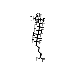 FC(F)=CCCCC(F)(F)C(F)(F)C(F)(F)C(F)(F)C(F)(F)C(F)(F)C(F)(F)[Si](Cl)(Cl)Cl